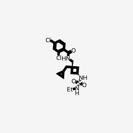 CCNS(=O)(=O)N[C@H]1C[C@@](CNC(=O)c2ccc(Cl)cc2Cl)(CC2CC2)C1